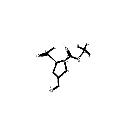 CC(=O)[C@@H]1CC(CO)CN1C(=O)OC(C)(C)C